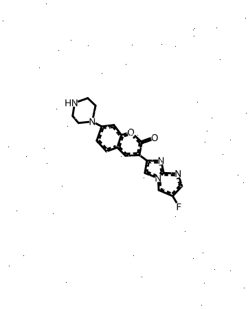 O=c1oc2cc(N3CCNCC3)ccc2cc1-c1cn2cc(F)cnc2n1